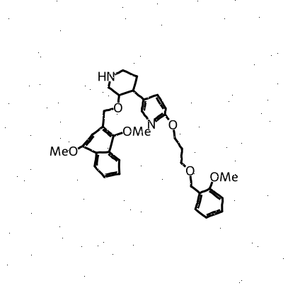 COc1ccccc1COCCCOc1ccc(C2CCNCC2OCc2cc(OC)c3ccccc3c2OC)cn1